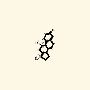 CC[C@H]1CCC2C3CCC4=CC(=O)CC[C@]4(C)C3[C@H](O)C[C@@]21C